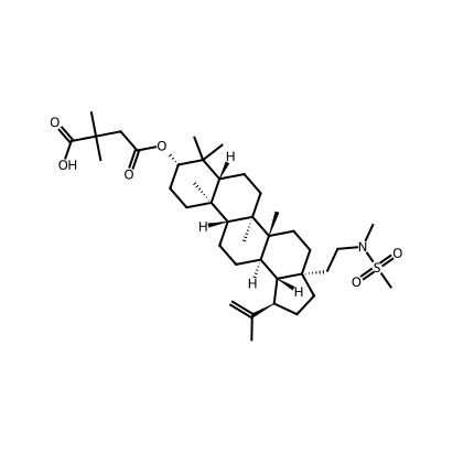 C=C(C)[C@@H]1CC[C@]2(CCN(C)S(C)(=O)=O)CC[C@]3(C)[C@H](CC[C@@H]4[C@@]5(C)CC[C@H](OC(=O)CC(C)(C)C(=O)O)C(C)(C)[C@@H]5CC[C@]43C)[C@@H]12